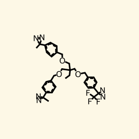 CCC(COCc1ccc(C2(C)N=N2)cc1)(COCc1ccc(C2(C)N=N2)cc1)COCc1ccc(C2(C(F)(F)F)N=N2)cc1